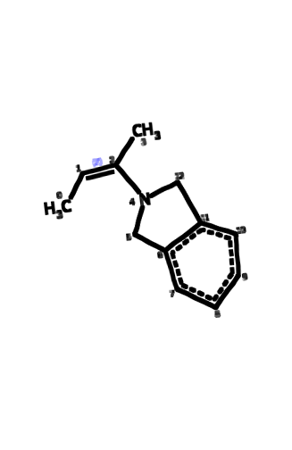 C/C=C(/C)N1Cc2ccccc2C1